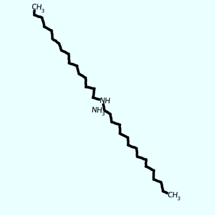 CCCCCCCCCCCCCCCCNCCCCCCCCCCCCCCCC.N